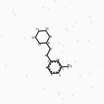 Fc1cccc(C[CH]C2CCCCC2)c1